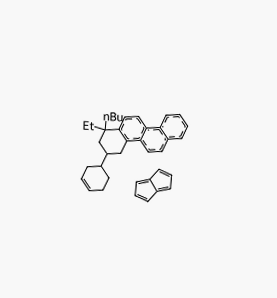 C1=CC2=CC=CC2=C1.CCCCC1(CC)CC(C2CC=CCC2)Cc2c1ccc1c2ccc2ccccc21